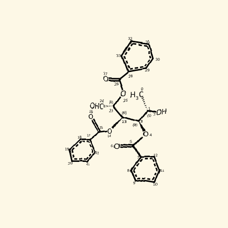 C[C@H](O)[C@@H](OC(=O)c1ccccc1)[C@@H](OC(=O)c1ccccc1)[C@H](C=O)OC(=O)c1ccccc1